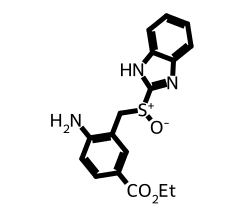 CCOC(=O)c1ccc(N)c(C[S+]([O-])c2nc3ccccc3[nH]2)c1